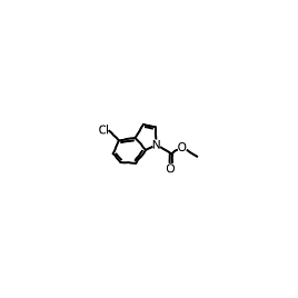 COC(=O)n1ccc2c(Cl)cccc21